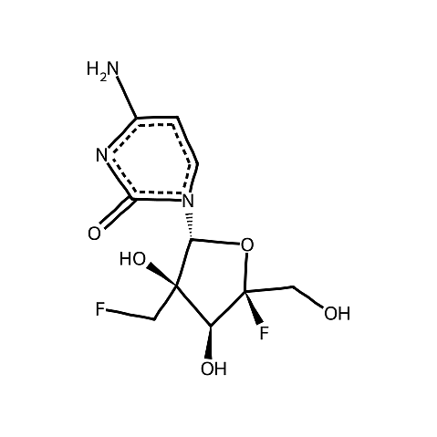 Nc1ccn([C@@H]2O[C@](F)(CO)[C@@H](O)[C@]2(O)CF)c(=O)n1